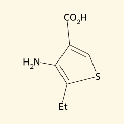 CCc1scc(C(=O)O)c1N